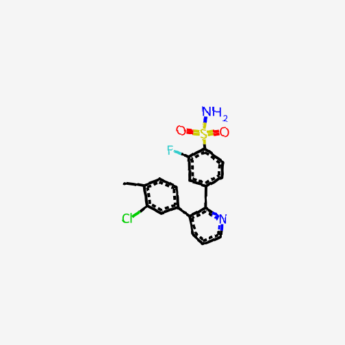 Cc1ccc(-c2cccnc2-c2ccc(S(N)(=O)=O)c(F)c2)cc1Cl